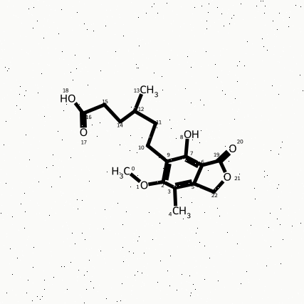 COc1c(C)c2c(c(O)c1CCC(C)CCC(=O)O)C(=O)OC2